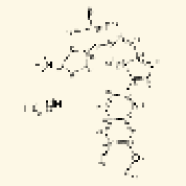 CCOc1cc2nc(-c3nnc4ccc([C@H](N5CC[C@H](N)C5)C(F)(F)F)cn34)ccc2cc1F.Cl.Cl